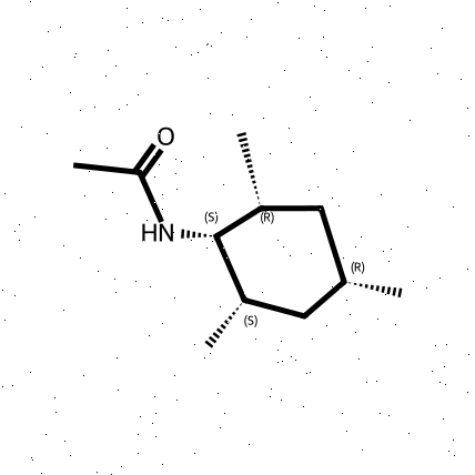 CC(=O)N[C@@H]1[C@H](C)C[C@H](C)C[C@@H]1C